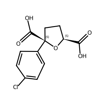 O=C(O)[C@@H]1CC[C@@](C(=O)O)(c2ccc(Cl)cc2)O1